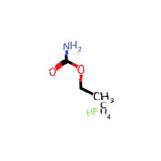 C.CCOC(N)=O.F